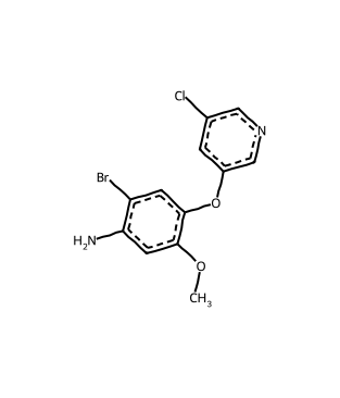 COc1cc(N)c(Br)cc1Oc1cncc(Cl)c1